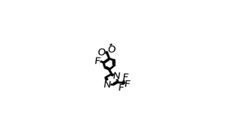 COC(=O)c1ccc(-c2cncc(C(F)(F)F)n2)cc1F